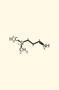 C[Si](C)CCC=N